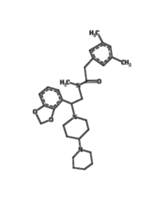 Cc1cc(C)cc(CC(=O)N(C)CC(c2cccc3c2OCO3)N2CCC(N3CCCCC3)CC2)c1